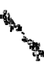 Cn1ncc(-c2nc(N[C@H]3CC[C@H](NCCCCCN4CCC(c5cc6c(cc5F)C(=O)N(C5CCC(=O)NC5=O)C6)CC4)CC3)ncc2Cl)c1CC1CC1